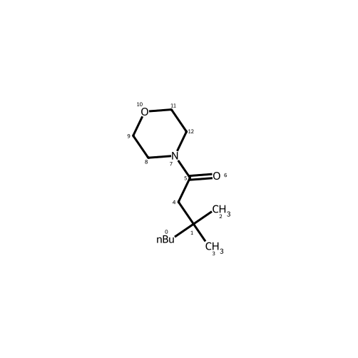 CCCCC(C)(C)CC(=O)N1CCOCC1